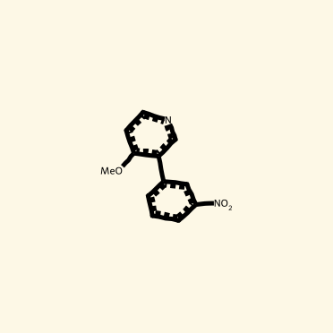 COc1ccncc1-c1cccc([N+](=O)[O-])c1